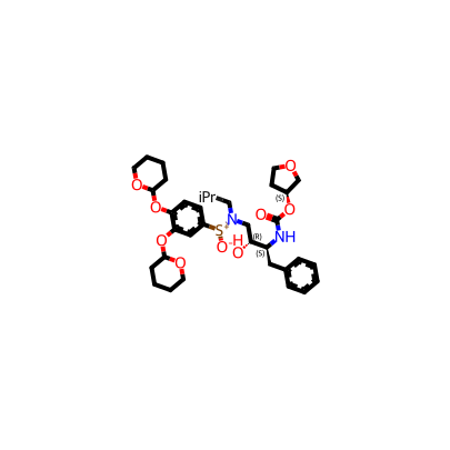 CC(C)CN(C[C@@H](O)[C@H](Cc1ccccc1)NC(=O)O[C@H]1CCOC1)[S+]([O-])c1ccc(OC2CCCCO2)c(OC2CCCCO2)c1